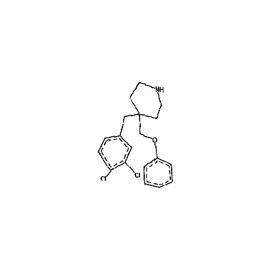 Clc1ccc(CC2(COc3ccccc3)CCNCC2)cc1Cl